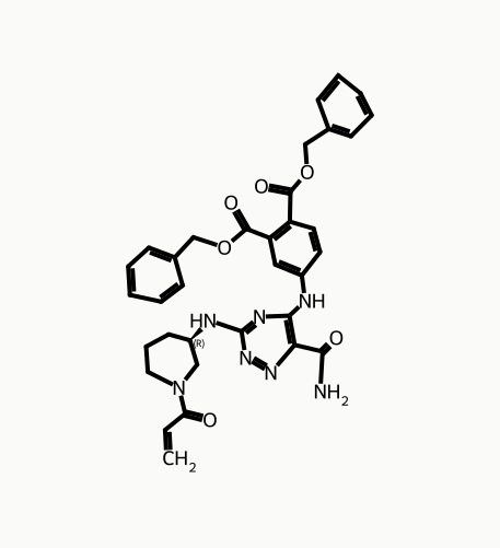 C=CC(=O)N1CCC[C@@H](Nc2nnc(C(N)=O)c(Nc3ccc(C(=O)OCc4ccccc4)c(C(=O)OCc4ccccc4)c3)n2)C1